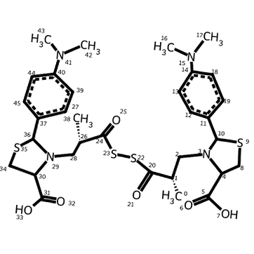 C[C@@H](CN1C(C(=O)O)CSC1c1ccc(N(C)C)cc1)C(=O)SSC(=O)[C@@H](C)CN1C(C(=O)O)CSC1c1ccc(N(C)C)cc1